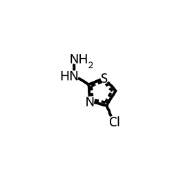 NNc1nc(Cl)cs1